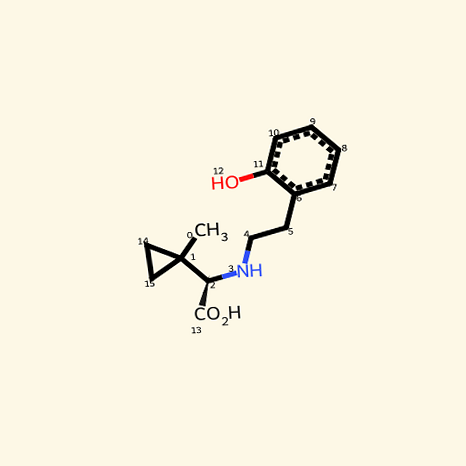 CC1([C@@H](NCCc2ccccc2O)C(=O)O)CC1